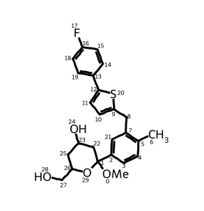 COC1(c2ccc(C)c(Cc3ccc(-c4ccc(F)cc4)s3)c2)CC(O)CC(CO)O1